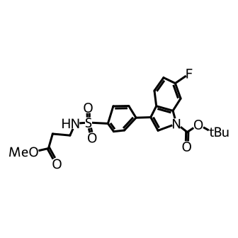 COC(=O)CCNS(=O)(=O)c1ccc(-c2cn(C(=O)OC(C)(C)C)c3cc(F)ccc23)cc1